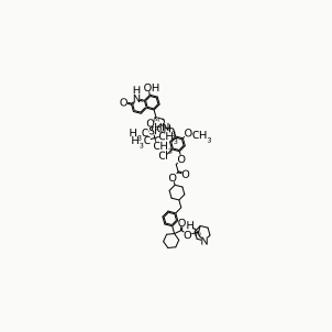 COc1cc(OCC(=O)OC2CCC(Cc3cccc(C4(C(=O)O[C@H]5CN6CCC5CC6)CCCCC4)c3)CC2)c(Cl)cc1CNC[C@@H](O[Si](C)(C)C(C)(C)C)c1ccc(O)c2[nH]c(=O)ccc12